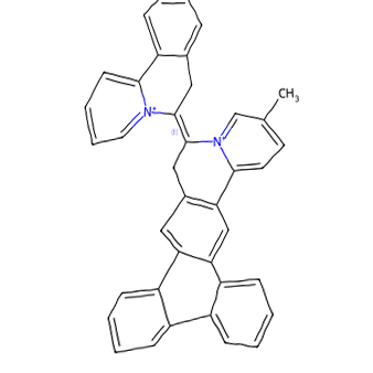 Cc1ccc2[n+](c1)/C(=C1\Cc3ccccc3-c3cccc[n+]31)Cc1cc3c4ccccc4c4ccccc4c3cc1-2